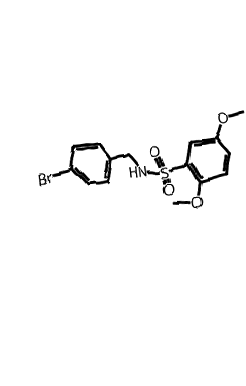 COc1ccc(OC)c(S(=O)(=O)NCc2ccc(Br)cc2)c1